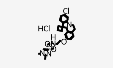 Cc1nc(S(=O)(=O)NCCOc2ccc3c(c2)C(C2(c4ccc(Cl)cc4)CCC2)=NCC3)cn1C.Cl